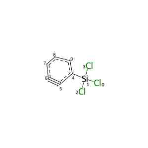 Cl[Si](Cl)(Cl)c1c#cccc1